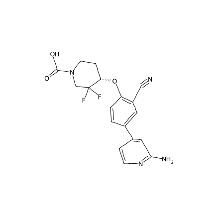 N#Cc1cc(-c2ccnc(N)c2)ccc1O[C@H]1CCN(C(=O)O)CC1(F)F